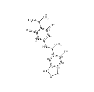 CC(Nc1nc(=O)n(C(C)C)c(=O)[nH]1)c1cc2c(cc1F)CCO2